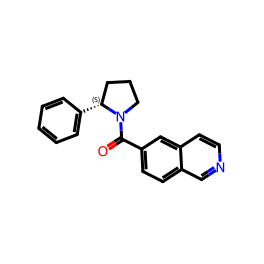 O=C(c1ccc2cnccc2c1)N1CCC[C@H]1c1ccccc1